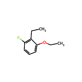 CCOc1cccc(F)c1CC